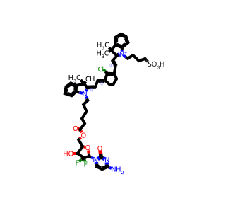 CC1(C)C(/C=C/C2=C(Cl)C(=C/C=C3/N(CCCCCC(=O)OCC4OC(n5ccc(N)nc5=O)C(F)(F)C4O)c4ccccc4C3(C)C)/CCC2)=[N+](CCCCS(=O)(=O)O)c2ccccc21